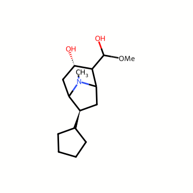 COC(O)C1C2C[C@@H](C3CCCC3)C(C[C@@H]1O)N2C